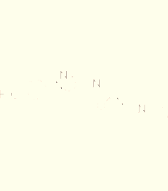 O=C(CN1CCc2nn(-c3ccc(C(F)(F)F)cc3)cc2C1)N1CCN(C2CCC2)CC1